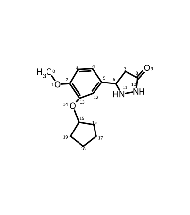 COc1ccc(C2CC(=O)NN2)cc1OC1CCCC1